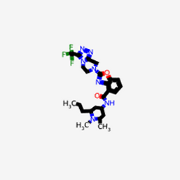 CCCC1CC(NC(=O)c2cccc3oc(N4CCn5c(nnc5C(F)(F)F)C4)nc23)CC(C)N1C